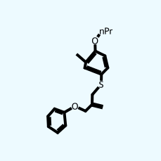 C=C(COc1ccccc1)CSc1ccc(OCCC)c(C)c1